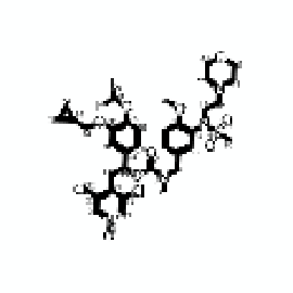 COc1ccc(CN(C)C(=O)OC(Cc2c(Cl)c[n+]([O-])cc2Cl)c2ccc(OC(F)F)c(OCC3CC3)c2)cc1N(CCN1CCOCC1)S(C)(=O)=O